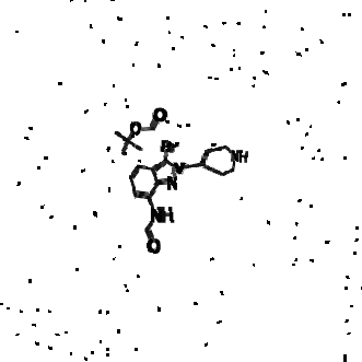 CC(C)(C)OC=O.O=CNc1cccc2c(Br)n(C3CCNCC3)nc12